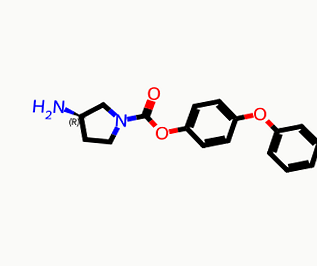 N[C@@H]1CCN(C(=O)Oc2ccc(Oc3ccccc3)cc2)C1